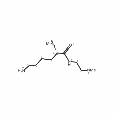 CNCCNC(=O)[C@H](CCCCN)NC